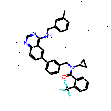 Cc1cccc(CNc2ncnc3ccc(-c4cccc(CN(C(=O)c5ccccc5C(F)(F)F)C5CC5)c4)cc23)c1